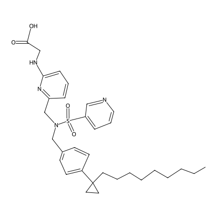 CCCCCCCCCC1(c2ccc(CN(Cc3cccc(NCC(=O)O)n3)S(=O)(=O)c3cccnc3)cc2)CC1